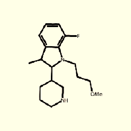 COCCCN1c2c(F)cccc2C(C)C1C1CCCNC1